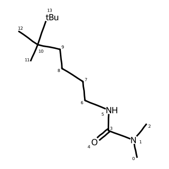 CN(C)C(=O)NCCCCC(C)(C)C(C)(C)C